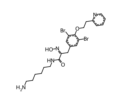 NCCCCCCNC(=O)C(Cc1cc(Br)c(OCCc2ccccn2)c(Br)c1)=NO